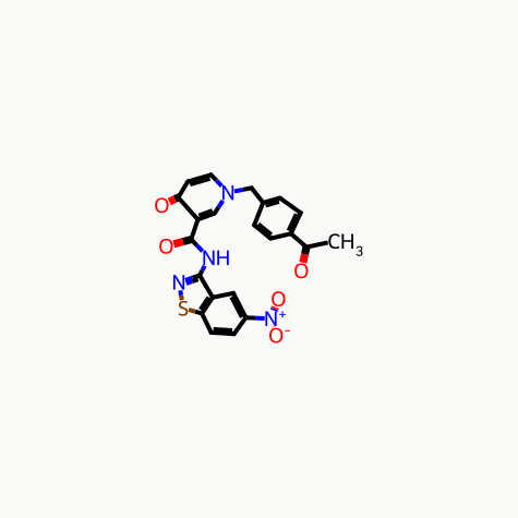 CC(=O)c1ccc(Cn2ccc(=O)c(C(=O)Nc3nsc4ccc([N+](=O)[O-])cc34)c2)cc1